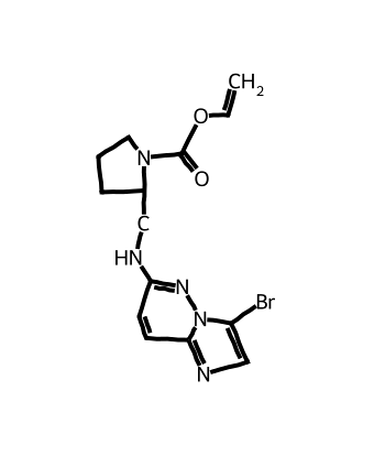 C=COC(=O)N1CCCC1CNc1ccc2ncc(Br)n2n1